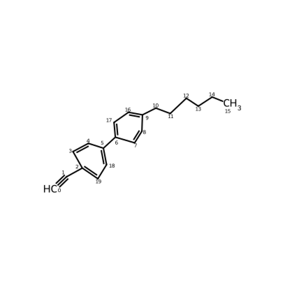 C#Cc1ccc(-c2ccc(CCCCCC)cc2)cc1